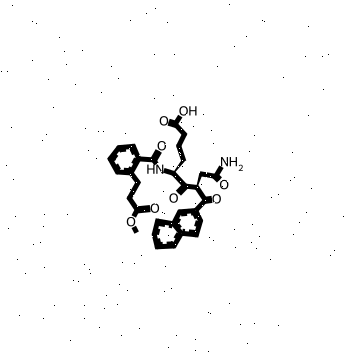 COC(=O)CCc1ccccc1C(=O)N[C@@H](CCCC(=O)O)C(=O)[C@@H](CC(N)=O)C(=O)c1ccc2ccccc2c1